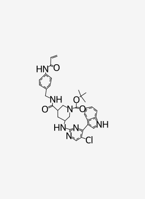 C=CC(=O)Nc1ccc(CNC(=O)C2CC(Nc3ncc(Cl)c(-c4c[nH]c5ccccc45)n3)CN(C(=O)OC(C)(C)C)C2)cc1